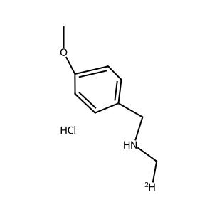 Cl.[2H]CNCc1ccc(OC)cc1